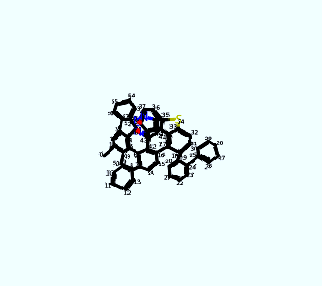 Cc1cc2c(c(-c3c(-c4ccccc4)ccc(-c4c(-c5ccccc5-c5ccccc5)ccc5sc6ccccc6c45)c3-c3ccnnn3)c1C)Cc1ccccc1-2